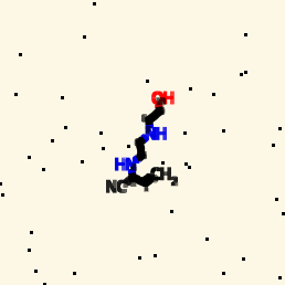 C=CC(C#N)NCCNCCO